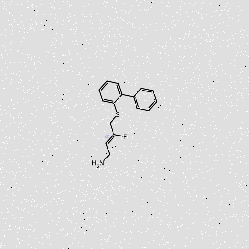 NC/C=C(\F)CSc1ccccc1-c1ccccc1